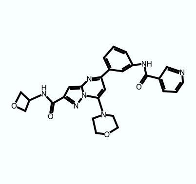 O=C(Nc1cccc(-c2cc(N3CCOCC3)n3nc(C(=O)NC4COC4)cc3n2)c1)c1cccnc1